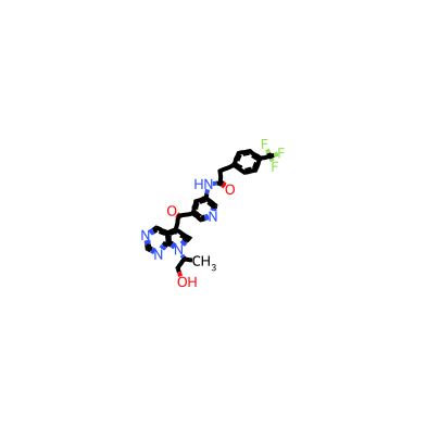 CC(CO)n1cc(C(=O)c2cncc(NC(=O)Cc3ccc(C(F)(F)F)cc3)c2)c2cncnc21